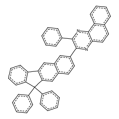 c1ccc(-c2nc3c(ccc4ccccc43)nc2-c2ccc3cc4c(cc3c2)-c2ccccc2C4(c2ccccc2)c2ccccc2)cc1